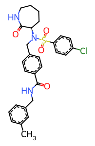 Cc1cccc(CNC(=O)c2ccc(CN([C@@H]3CCCCNC3=O)S(=O)(=O)c3ccc(Cl)cc3)cc2)c1